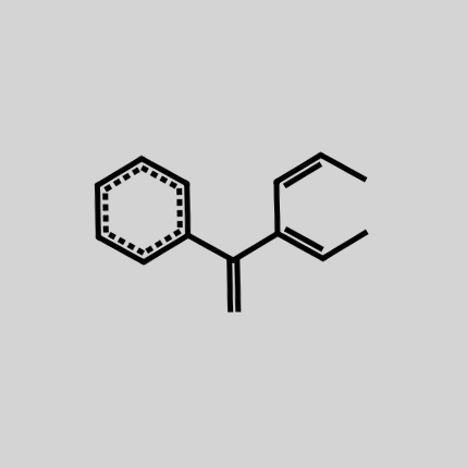 C=C(C(/C=C\C)=C/C)c1ccccc1